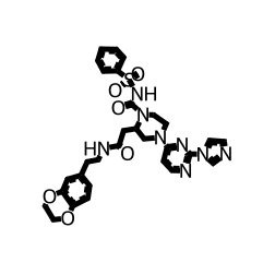 O=C(CC1CN(c2ccnc(-n3ccnc3)n2)CCN1C(=O)NS(=O)(=O)c1ccccc1)NCCc1ccc2c(c1)OCCO2